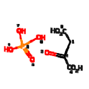 O=C(O)CC(=O)C(=O)O.O=P(O)(O)O